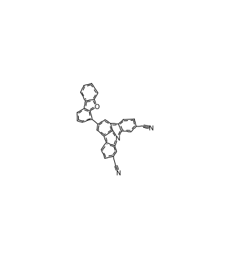 N#Cc1ccc2c3cc(-c4cccc5c4oc4ccccc45)cc4c5ccc(C#N)cc5n(c2c1)c34